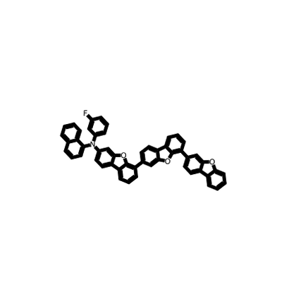 Fc1cccc(N(c2ccc3c(c2)oc2c(-c4ccc5c(c4)oc4c(-c6ccc7c(c6)oc6ccccc67)cccc45)cccc23)c2cccc3ccccc23)c1